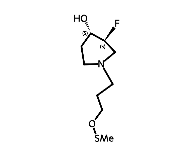 CSOCCCN1CC[C@H](O)[C@@H](F)C1